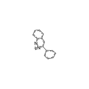 [Ir].c1ccc(-c2cc3ccccc3nn2)cc1